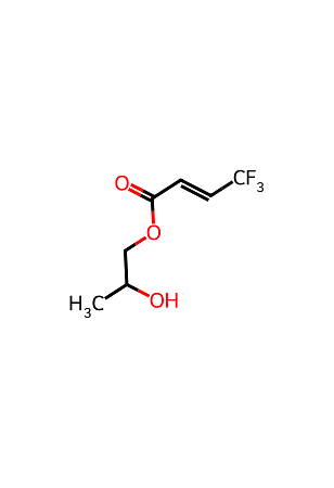 CC(O)COC(=O)C=CC(F)(F)F